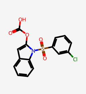 O=C(O)Oc1cc2ccccc2n1S(=O)(=O)c1cccc(Cl)c1